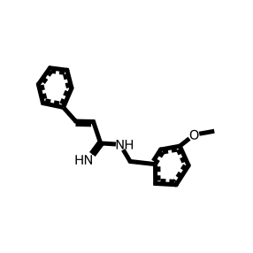 COc1cccc(CNC(=N)/C=C/c2ccccc2)c1